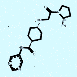 N#C[C@@H]1CCCN1C(=O)CN[C@H]1CC[C@H](C(=O)Nc2cncnc2)CC1